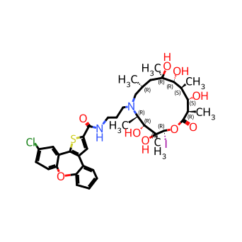 C[C@H]1CN(CCCNC(=O)c2cc3c(s2)-c2cc(Cl)ccc2Oc2ccccc2-3)[C@H](C)[C@@H](O)[C@](C)(O)[C@@H](I)OC(=O)[C@H](C)[C@@H](O)[C@H](C)[C@@H](O)[C@](C)(O)C1